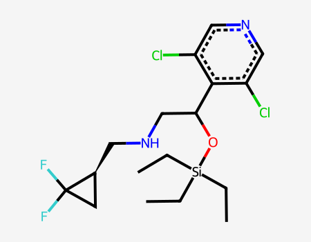 CC[Si](CC)(CC)OC(CNC[C@H]1CC1(F)F)c1c(Cl)cncc1Cl